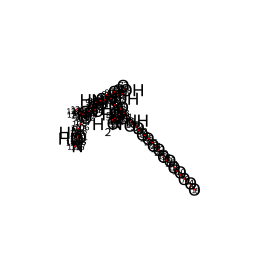 COCCOCCOCCOCCOCCOCCOCCOCCOCCOCCOCCOCCC(=O)NCCCC[C@H](NC(=O)[C@H](CN)N1C(=O)C=CC1=O)C(=O)NCCC(=O)Nc1cc(O[C@H]2C[C@@H](O)C[C@@H](C(=O)O)O2)ccc1COC(=O)Nc1cccc(C(=O)N(C)CCON(C(=O)CCCCCCNC(=O)Nc2ccncc2)C2CCCCC2)c1